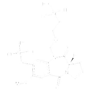 COc1cc2c(cc1O[Si](C(C)C)(C(C)C)C(C)C)N(COCC[Si](C)(C)C)C(=O)[C@@H]1C[C]=CN1C2=O